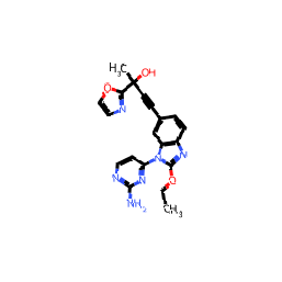 CCOc1nc2ccc(C#CC(C)(O)c3ncco3)cc2n1-c1ccnc(N)n1